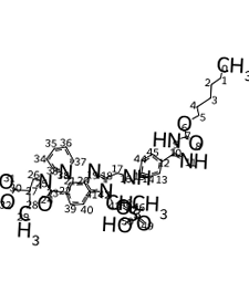 CCCCCCOC(=O)NC(=N)c1ccc(NCc2nc3cc(C(=O)N(CC(CC)C(=O)O)c4ccccn4)ccc3n2C)cc1.CS(=O)(=O)O